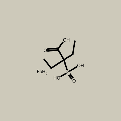 CCC(CC)(C(=O)O)P(=O)(O)O.[PbH2]